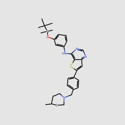 CC1CCN(Cc2ccc(-c3cc4ncnc(Nc5cccc(O[Si](C)(C)C(C)(C)C)c5)c4s3)cc2)CC1